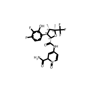 C[C@H]1[C@H](c2ccc(F)c(F)c2O)[C@@H](C(=O)NC2=CC(C(N)=O)[N+](=O)C=C2)O[C@]1(C)C(F)(F)F